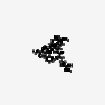 CC(C)C(=O)C(Cc1ccccc1)NC(=O)C(CCCCN)NC(=O)C(Cc1cn(C)c(=S)[nH]1)NC(=O)C(N)CCCNC(=N)N